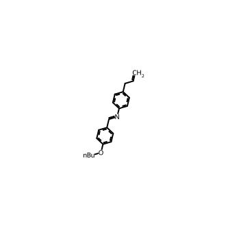 C=CCc1ccc(N=Cc2ccc(OCCCC)cc2)cc1